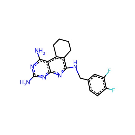 Nc1nc(N)c2c3c(c(NCc4ccc(F)c(F)c4)nc2n1)CCCC3